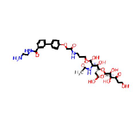 CC(=O)N/C(=C(/O)[C@@H](CCO)O[C@H](O)/C(O)=C(\O)C(=O)CCO)[C@@H](O)OCCCNC(=O)COc1ccc(-c2cccc(C(=O)NCCN)c2)cc1